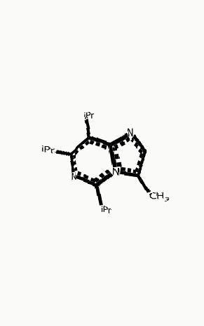 Cc1cnc2c(C(C)C)c(C(C)C)nc(C(C)C)n12